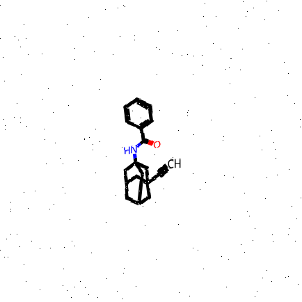 C#CC12CC3CC(C1)CC(NC(=O)c1ccccc1)(C3)C2